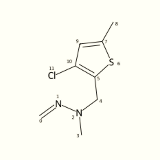 C=NN(C)Cc1sc(C)cc1Cl